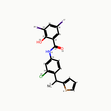 N#CC(c1cccs1)c1ccc(NC(=O)c2cc(I)cc(I)c2O)cc1Cl